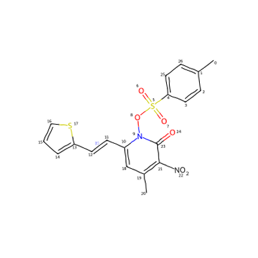 Cc1ccc(S(=O)(=O)On2c(/C=C/c3cccs3)cc(C)c([N+](=O)[O-])c2=O)cc1